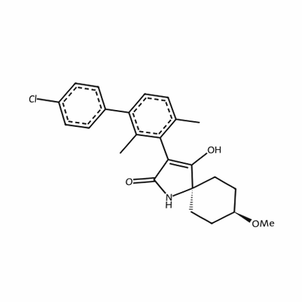 CO[C@H]1CC[C@]2(CC1)NC(=O)C(c1c(C)ccc(-c3ccc(Cl)cc3)c1C)=C2O